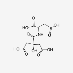 O=C(O)CC(NC(=O)C(O)(CC(=O)O)CC(=O)O)C(=O)O